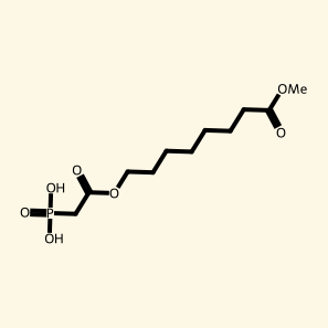 COC(=O)CCCCCCCOC(=O)CP(=O)(O)O